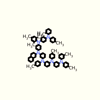 Cc1ccc(N(c2cccc(C)c2)c2cccc(N(c3ccc(C)cc3)c3cccc(N(c4ccc(C)cc4)c4cccc(N(c5ccc(N(c6ccc(N(c7ccc(C)cc7)c7ccccc7C)cc6)c6c(C)cc(C)cc6C)cc5)c5ccc6ccccc6c5)c4)c3)c2)cc1